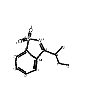 CCC(C)C1=NS(=O)(=O)c2ccccc21